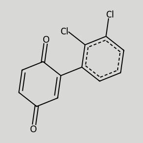 O=C1C=CC(=O)C(c2cccc(Cl)c2Cl)=C1